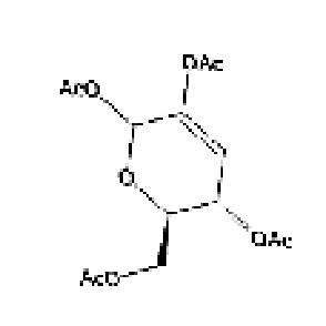 CC(=O)OC[C@H]1OC(OC(C)=O)C(OC(C)=O)=C[C@@H]1OC(C)=O